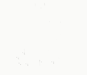 COc1cc(/C=C2\SC(NCc3nnn[nH]3)=NC2=O)ccc1Oc1ccc(C)cc1C(F)(F)F